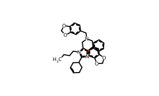 CCCCn1c(C2CC=CCC2)nc(-c2ccccc2)c1CN(Cc1ccc2c(c1)OCO2)Cc1ccc2c(c1)OCO2